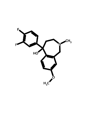 COc1ccc2c(c1)CN(C)CCC2(O)c1ccc(F)c(F)c1